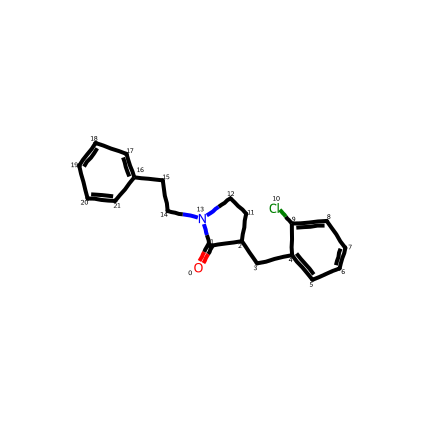 O=C1C(Cc2ccccc2Cl)CCN1CCc1ccccc1